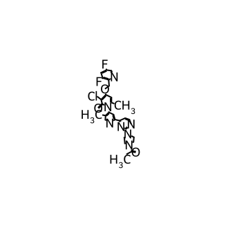 CCC(=O)N1CCN(c2nccc(-c3cc(-n4c(C)cc(OCc5ncc(F)cc5F)c(Cl)c4=O)c(C)cn3)n2)CC1